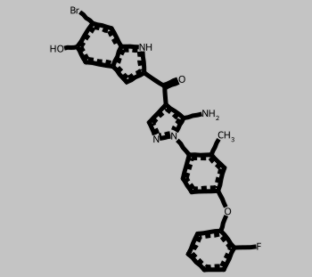 Cc1cc(Oc2ccccc2F)ccc1-n1ncc(C(=O)c2cc3cc(O)c(Br)cc3[nH]2)c1N